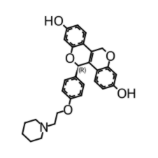 Oc1ccc2c(c1)O[C@H](c1ccc(OCCN3CCCCC3)cc1)C1=C2COc2cc(O)ccc21